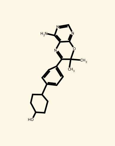 CC1(C)Oc2ncnc(N)c2N=C1c1ccc(C2CCC(O)CC2)cc1